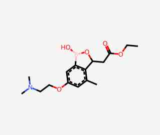 CCOC(=O)CC1OB(O)c2cc(OCCN(C)C)cc(C)c21